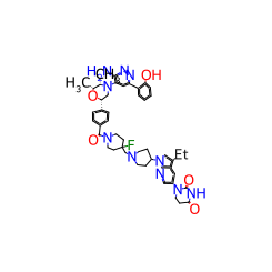 CCc1cn(C2CCN(CC3(F)CCN(C(=O)c4ccc([C@H]5CN(c6cc(-c7ccccc7O)nnc6N)[C@@H](C)[C@@H](C)O5)cc4)CC3)CC2)c2ncc(N3CCC(=O)NC3=O)cc12